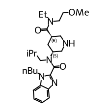 CCCCn1c(C(=O)N(CC(C)C)[C@@H]2CNC[C@H](C(=O)N(CC)CCOC)C2)nc2ccccc21